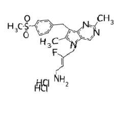 Cc1ncc2c(n1)c(Cc1ccc(S(C)(=O)=O)cc1)c(C)n2C/C(F)=C/CN.Cl.Cl